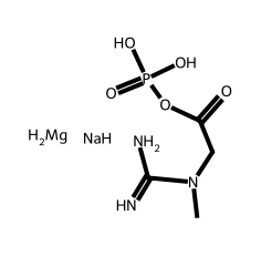 CN(CC(=O)OP(=O)(O)O)C(=N)N.[MgH2].[NaH]